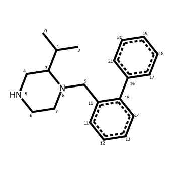 CC(C)C1CNCCN1Cc1ccccc1-c1ccccc1